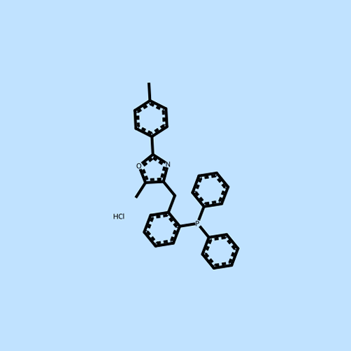 Cc1ccc(-c2nc(Cc3ccccc3P(c3ccccc3)c3ccccc3)c(C)o2)cc1.Cl